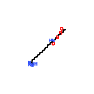 CC(=O)COCCOCCNC(=O)CCCCCCCCCCCCCCCc1nnn[nH]1